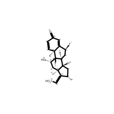 C[C@H]1C[C@H]2[C@@H]3C[C@H](F)C4=CC(=O)C=C[C@]4(C)C3(F)[C@@H](O)C[C@]2(C)/C1=C\C(=O)O